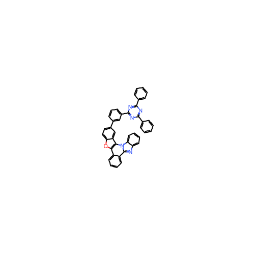 c1ccc(-c2nc(-c3ccccc3)nc(-c3cccc(-c4ccc5oc6c7ccccc7c7nc8ccccc8n7c6c5c4)c3)n2)cc1